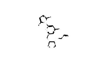 C=CCO[C@H]1COC[C@H]1Cc1cc(C)cc(-n2c(C)ccc2C)n1